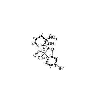 CC(C)c1ccc2c(c1)OC1(O)c3c(cccc3[N+](=O)[O-])C(=O)C21Cl